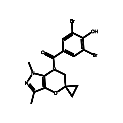 Cc1nn(C)c2c1OC1(CC1)CN2C(=O)c1cc(Br)c(O)c(Br)c1